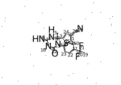 Cc1sc([C@@]2(C)NC(=N)N(C)C(=O)N2c2ccc(C(C)(F)F)cc2)cc1C#N